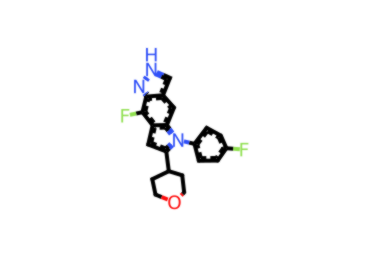 Fc1ccc(-n2c(C3CCOCC3)cc3c(F)c4n[nH]cc4cc32)cc1